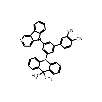 CC1(C)c2ccccc2N(c2cc(-c3ccc(C#N)c(C#N)c3)cc(-n3c4ccccc4c4cnccc43)c2)c2ccccc21